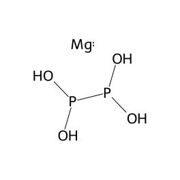 OP(O)P(O)O.[Mg]